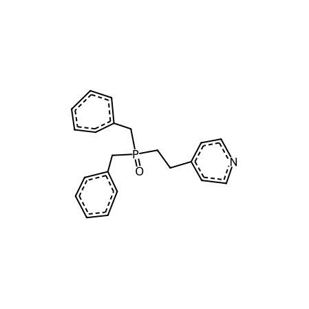 O=P(CCc1ccncc1)(Cc1ccccc1)Cc1ccccc1